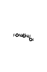 Fc1ccc(NCc2ccc(NCCc3cccnc3)nc2)cc1